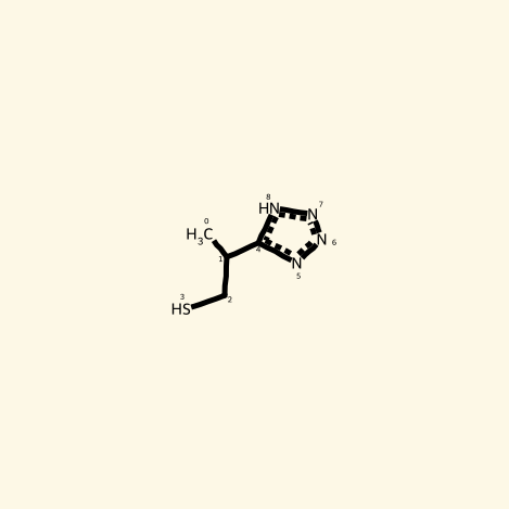 CC(CS)c1nnn[nH]1